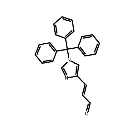 O=CC=Cc1cn(C(c2ccccc2)(c2ccccc2)c2ccccc2)cn1